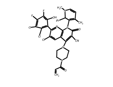 C=CC(=O)N1CCN(c2c(C#N)c(=O)n(C3=C(C)C=CN(C)C3C(C)C)c3nc(-c4c(O)c(F)c(F)c(Cl)c4Cl)c(Cl)cc23)CC1